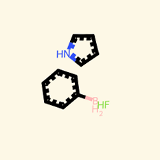 Bc1ccccc1.F.c1cc[nH]c1